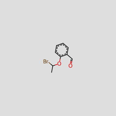 CC(Br)Oc1ccccc1C=O